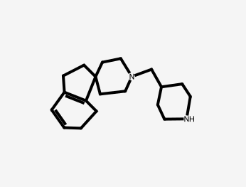 C1=CC2=C(CC1)C1(CC2)CCN(CC2CCNCC2)CC1